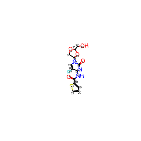 O=C(Nc1nc(=O)n(C2COC(CO)O2)cc1F)c1cccs1